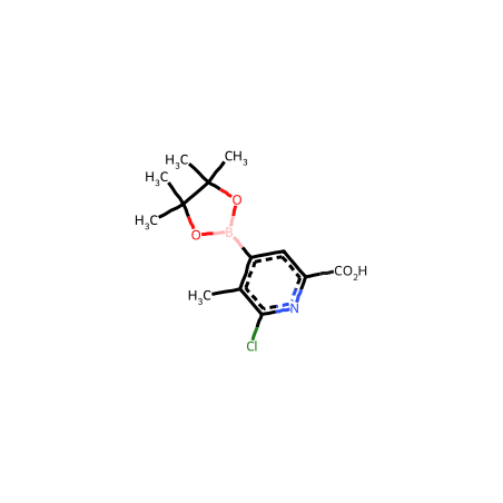 Cc1c(B2OC(C)(C)C(C)(C)O2)cc(C(=O)O)nc1Cl